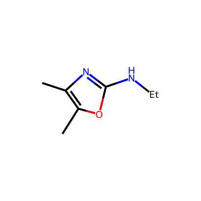 CCNc1nc(C)c(C)o1